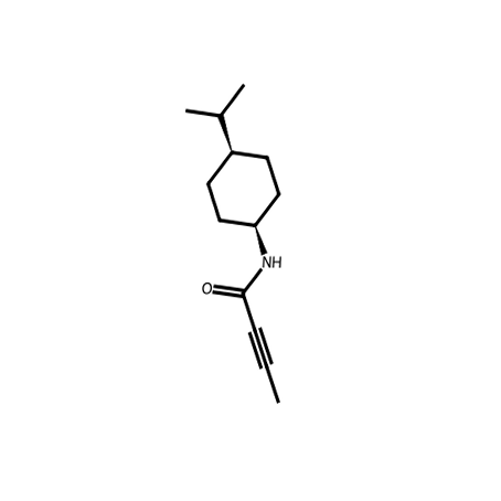 CC#CC(=O)N[C@H]1CC[C@@H](C(C)C)CC1